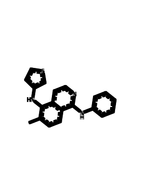 Cc1ccc2c(Nc3ccccc3)nccc2c1Nc1ccsc1